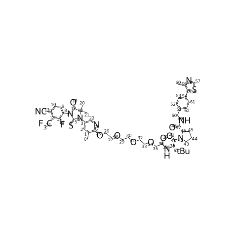 Cc1cc(N2C(=S)N(c3ccc(C#N)c(C(F)(F)F)c3F)C(=O)C2(C)C)cnc1OCCOCCOCCOCC(=O)N[C@H](C(=O)N1CCC[C@H]1C(=O)NCc1ccc(-c2scnc2C)cc1)C(C)(C)C